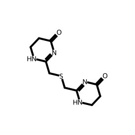 O=C1CCNC(CSCC2=NC(=O)CCN2)=N1